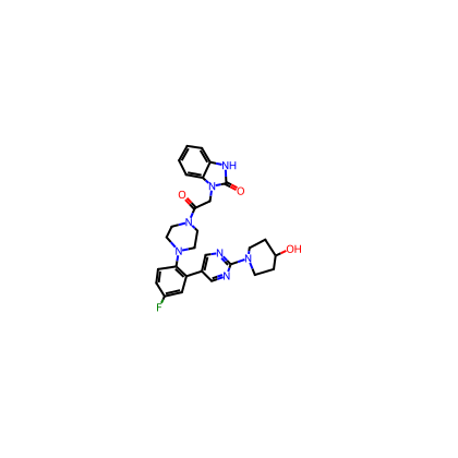 O=C(Cn1c(=O)[nH]c2ccccc21)N1CCN(c2ccc(F)cc2-c2cnc(N3CCC(O)CC3)nc2)CC1